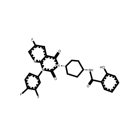 O=C(N[C@H]1CC[C@@H](n2c(=O)c3cc(F)cnc3n(-c3ccc(F)c(F)c3)c2=O)CC1)c1ccccc1O